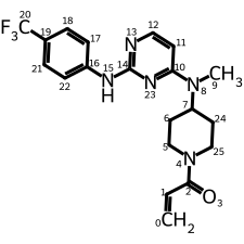 C=CC(=O)N1CCC(N(C)c2ccnc(Nc3ccc(C(F)(F)F)cc3)n2)CC1